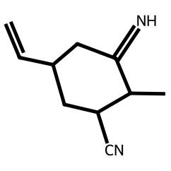 C=CC1CC(=N)C(C)C(C#N)C1